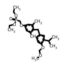 CCOP(=O)(COc1cc(C)c(Cc2ccc(OCOC)c(C(C)C)c2)c(C)c1)OCC